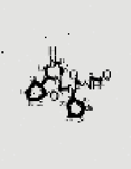 O=[C]CNC(=O)N(C(=O)N1CCNCC1c1ccccc1)c1ccccc1